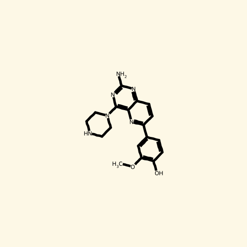 COc1cc(-c2ccc3nc(N)nc(N4CCNCC4)c3n2)ccc1O